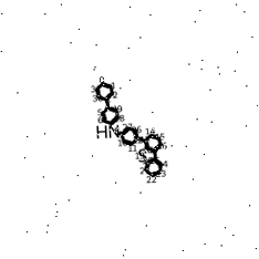 c1ccc(-c2ccc(Nc3ccc(-c4cccc5c4sc4ccccc45)cc3)cc2)cc1